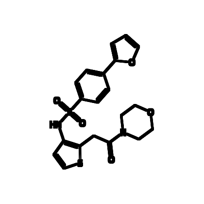 O=C(Cc1sccc1NS(=O)(=O)c1ccc(-c2ccco2)cc1)N1CCOCC1